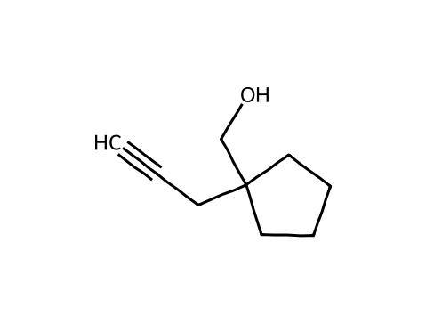 C#CCC1(CO)CCCC1